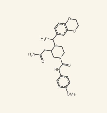 COc1ccc(NC(=O)N2CCN(C(C)c3ccc4c(c3)OCCO4)C(CC(N)=O)C2)cc1